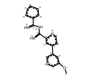 COc1cncc(-c2ccnc(C(=N)NC(=N)c3ccccc3)c2)c1